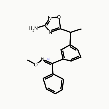 CO/N=C(\c1ccccc1)c1cccc(C(C)c2nc(N)no2)c1